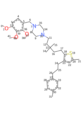 COc1ccc(CN2CCN(CCC(C)(C)CCc3sc(C)cc3CCCc3ccc(C)cc3)CC2)c(OC)c1OC